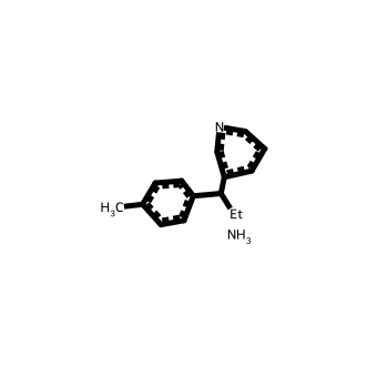 CCC(c1ccc(C)cc1)c1cccnc1.N